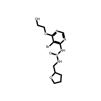 [O-][S+](NCC1CCCO1)Nc1ncnc(OCCO)c1Br